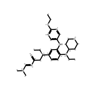 CCOc1ncc(Nc2cc([C@H](CC)CC(=O)N=CN(C)C)ccc2N(CC)C2CCOCC2)cn1